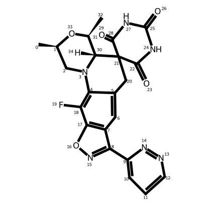 C[C@@H]1CN2c3c(cc4c(-c5cccnn5)noc4c3F)CC3(C(=O)NC(=O)NC3=O)[C@H]2[C@H](C)O1